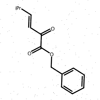 CC(C)C=CC(=O)C(=O)OCc1ccccc1